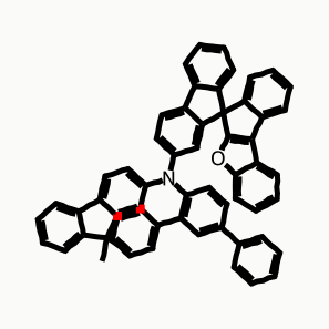 CC1(C)c2ccccc2-c2ccc(N(c3ccc4c(c3)C3(c5ccccc5-4)c4ccccc4-c4c3oc3ccccc43)c3ccc(-c4ccccc4)cc3-c3ccccc3)cc21